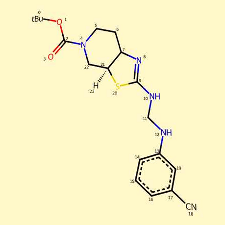 CC(C)(C)OC(=O)N1CCC2N=C(NCNc3cccc(C#N)c3)S[C@H]2C1